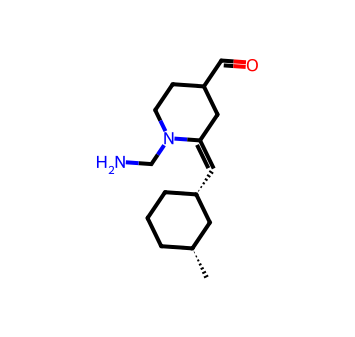 C[C@@H]1CCC[C@H](/C=C2/CC(C=O)CCN2CN)C1